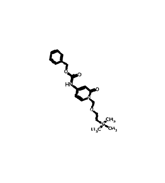 C[Si](C)(C)CCOCn1ccc(NC(=O)OCc2ccccc2)cc1=O